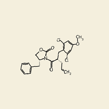 C=CC[C@@H](Cc1c(Cl)cc(OC)cc1Cl)C(=O)N1C(=O)OC[C@H]1Cc1ccccc1